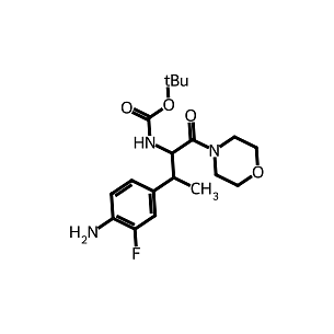 CC(c1ccc(N)c(F)c1)C(NC(=O)OC(C)(C)C)C(=O)N1CCOCC1